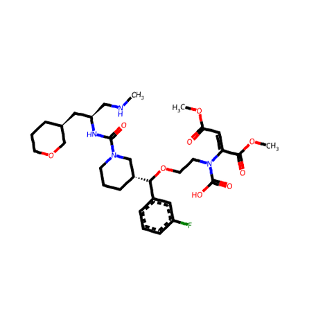 CNC[C@H](C[C@@H]1CCCOC1)NC(=O)N1CCC[C@@H](C(OCCN(C(=O)O)/C(=C\C(=O)OC)C(=O)OC)c2cccc(F)c2)C1